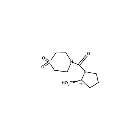 O=C(O)[C@@H]1CCCN1C(=O)N1CCS(=O)(=O)CC1